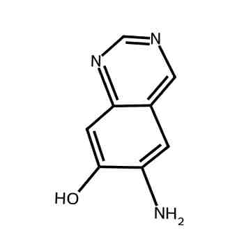 Nc1cc2cncnc2cc1O